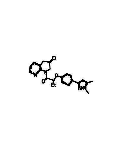 CCC(Oc1ccc(-c2cc(C)n(C)n2)cc1)C(=O)N1CC(=O)Cc2cccnc21